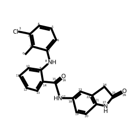 Cc1c(Cl)cccc1Nc1ccccc1C(=O)Nc1ccc2c(c1)CC(=O)N2